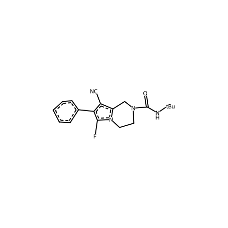 CC(C)(C)NC(=O)N1CCn2c(F)c(-c3ccccc3)c(C#N)c2C1